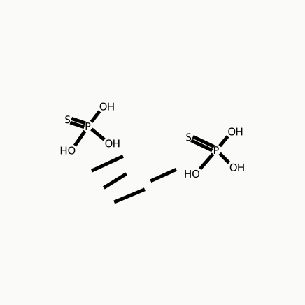 CC.CC.CC.CC.OP(O)(O)=S.OP(O)(O)=S